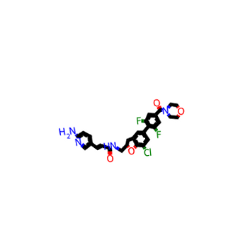 Nc1ccc(/C=C/C(=O)NCC2Cc3cc(-c4c(F)cc(C(=O)N5CCOCC5)cc4F)cc(Cl)c3O2)cn1